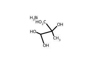 CC(O)(C(=O)O)C(O)O.[BiH3]